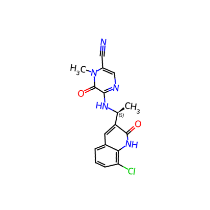 C[C@H](Nc1ncc(C#N)n(C)c1=O)c1cc2cccc(Cl)c2[nH]c1=O